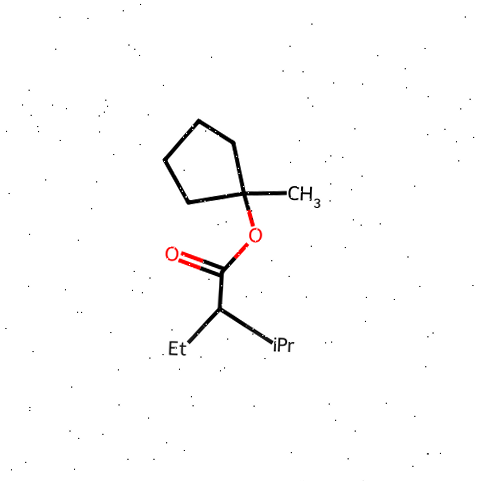 CCC(C(=O)OC1(C)CCCC1)C(C)C